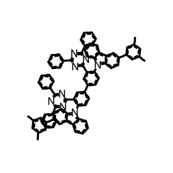 Cc1cc(C)cc(-c2ccc3c(c2)c2ccccc2n3-c2ccc(-c3ccc(-n4c5ccccc5c5cc(-c6cc(C)cc(C)c6)ccc54)c(-c4nc(-c5ccccc5)nc(-c5ccccc5)n4)c3)cc2-c2nc(-c3ccccc3)nc(-c3ccccc3)n2)c1